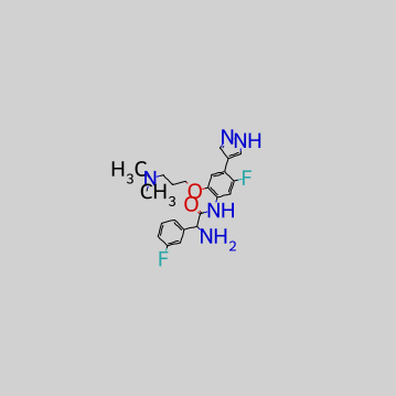 CN(C)CCCOc1cc(-c2cn[nH]c2)c(F)cc1NC(=O)C(N)c1cccc(F)c1